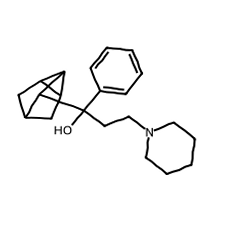 OC(CCN1CCCCC1)(c1ccccc1)C1C2CC3C(C2)C31